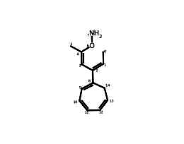 C/C=C(\C=C(\C)ON)C1=CC=CC=CC1